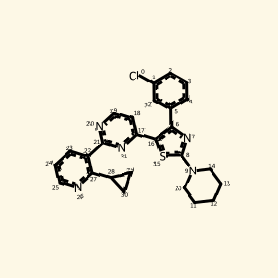 Clc1cccc(-c2nc(N3CCCCC3)sc2-c2ccnc(-c3cccnc3C3CC3)n2)c1